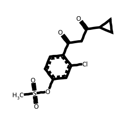 CS(=O)(=O)Oc1ccc(C(=O)CC(=O)C2CC2)c(Cl)c1